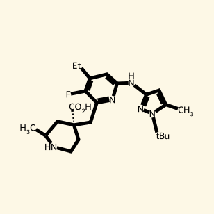 CCc1cc(Nc2cc(C)n(C(C)(C)C)n2)nc(C[C@@]2(C(=O)O)CCNC(C)C2)c1F